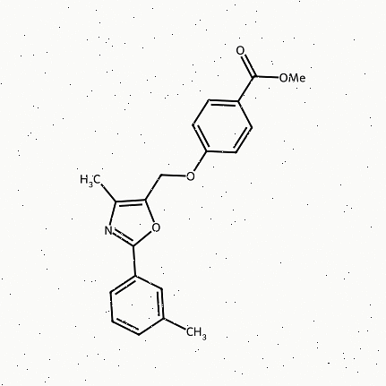 COC(=O)c1ccc(OCc2oc(-c3cccc(C)c3)nc2C)cc1